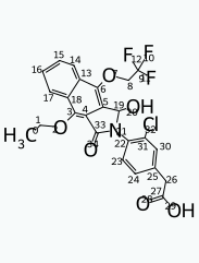 CCOc1c2c(c(OCC(F)(F)F)c3ccccc13)C(O)N(c1ccc(CC(=O)O)cc1Cl)C2=O